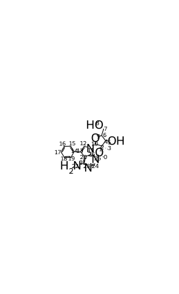 CO[C@]1(C)C(O)C(CO)O[C@H]1n1cc(-c2ccccc2)c2c(N)ncnc21